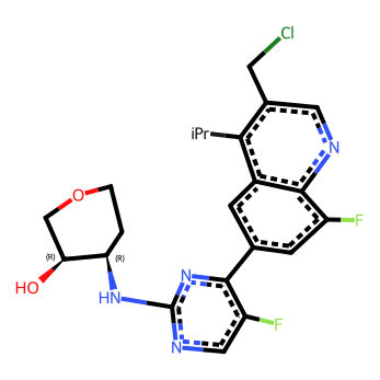 CC(C)c1c(CCl)cnc2c(F)cc(-c3nc(N[C@@H]4CCOC[C@@H]4O)ncc3F)cc12